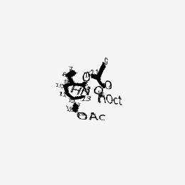 C=C(C)C(=O)OCCCCCCCC.C=CC1CCCCNC1=O.C=COC(C)=O